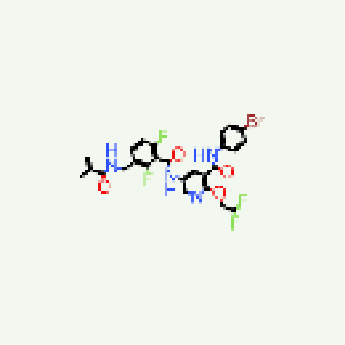 C=C(C)C(=O)NCc1ccc(F)c(C(=O)Nc2cnc(OCC(F)F)c(C(=O)Nc3ccc(Br)cc3)c2)c1F